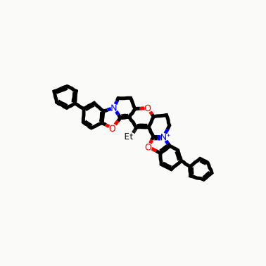 CCC1=C2c3oc4ccc(-c5ccccc5)cc4[n+]3CCC2OC2CCN3C(=C12)Oc1ccc(-c2ccccc2)cc13